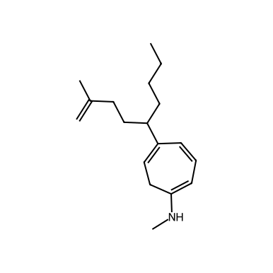 C=C(C)CCC(CCCC)C1=CCC(NC)=CC=C1